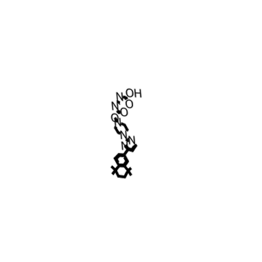 CC1(C)CCC(C)(C)c2cc(-c3ccnc(N4CCN(OC(=O)N=C=NC(=O)O)CC4)n3)ccc21